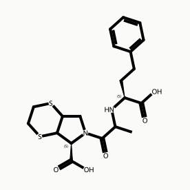 CC(N[C@@H](CCc1ccccc1)C(=O)O)C(=O)N1CC2SCCSC2[C@@H]1C(=O)O